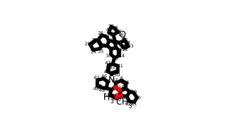 CC1(C)C2=C(C=CC(N(C3=CCC(C4C=CC5C(C4)C4C6=C(C=CCC6)CCC4C54C5C=CC=CC5OC5CCCCC54)C=C3)C3CCC=CC3C3C=CCCC3)C2)C2CCCCC21